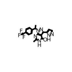 Cc1nc2c(c(-c3ccn[nH]3)nn2C(C)c2ccc(C(F)(F)F)cc2)c(=O)[nH]1